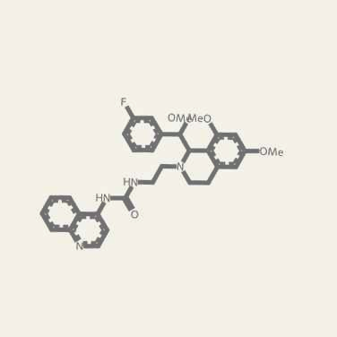 COc1cc2c(c(OC)c1)C(C(OC)c1cccc(F)c1)N(CCNC(=O)Nc1ccnc3ccccc13)CC2